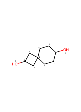 OC1CCC2(CC1)CC(O)C2